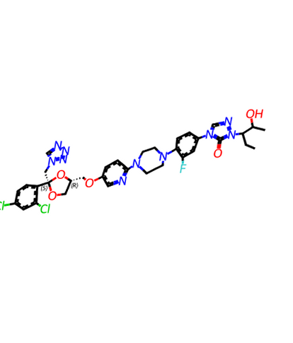 CCC(C(C)O)n1ncn(-c2ccc(N3CCN(c4ccc(OC[C@@H]5CO[C@@](Cn6cnnn6)(c6ccc(Cl)cc6Cl)O5)cn4)CC3)c(F)c2)c1=O